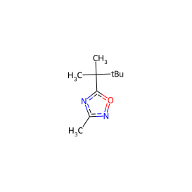 Cc1noc(C(C)(C)C(C)(C)C)n1